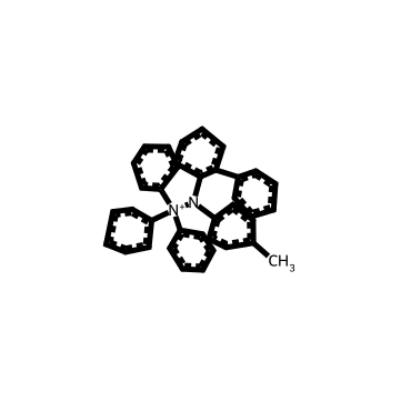 Cc1ccc(N(c2ccccc2-c2ccccc2)[N+](c2ccccc2)(c2ccccc2)c2ccccc2)cc1